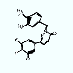 Nc1ccc(Cn2nc(-c3cc(F)c(F)c(F)c3)ccc2=O)cc1N